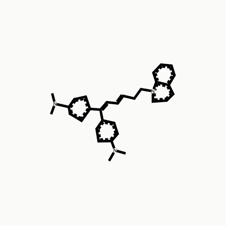 CN(C)c1ccc(C(=CC=CCC[n+]2cccc3ccccc32)c2ccc(N(C)C)cc2)cc1